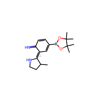 CC1CCN/C1=C1/C=C(B2OC(C)(C)C(C)(C)O2)C=CC1=N